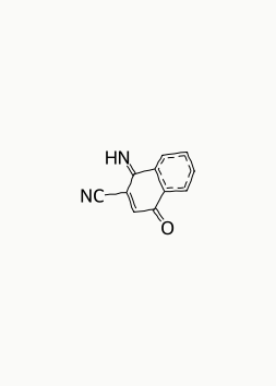 N#CC1=CC(=O)c2ccccc2C1=N